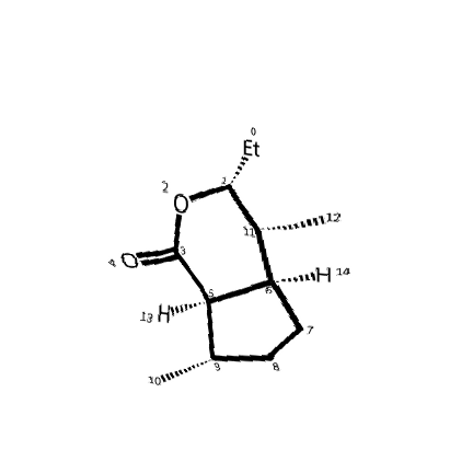 CC[C@H]1OC(=O)[C@H]2[C@H](CC[C@@H]2C)[C@H]1C